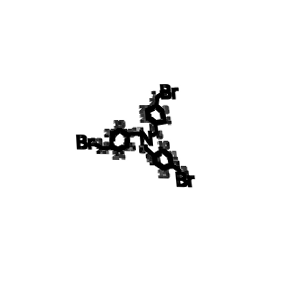 BrCc1ccc(CN(Cc2ccc(CBr)cc2)Cc2ccc(CBr)cc2)cc1